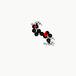 Cc1cccc(-c2ccccc2)c1N(c1ccc(C(C)(C)C)cc1)c1ccc2c3cc4c(cc3n3c5ccccc5c1c23)c1ccc(N(c2ccc(C(C)(C)C)cc2)c2c(C)cccc2-c2ccccc2)c2c3ccccc3n4c12